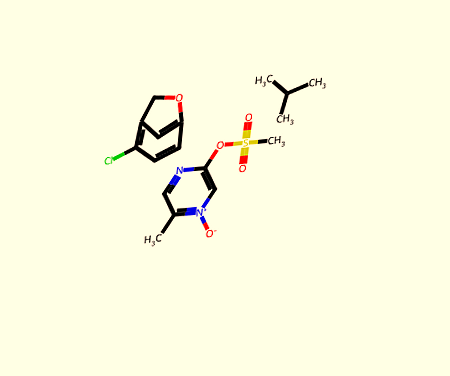 CC(C)C.Cc1cnc(OS(C)(=O)=O)c[n+]1[O-].Clc1ccc2cc1CO2